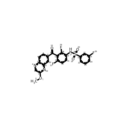 COc1cnc2ccc(C(=O)c3c(F)ccc(NS(=O)(=O)c4cccc(F)c4)c3F)cc2n1